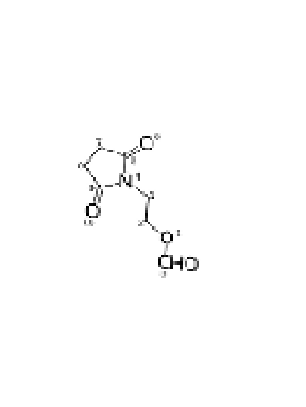 O=COCCN1C(=O)CCC1=O